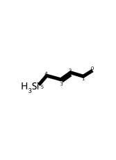 CCC=CC[SiH3]